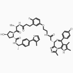 Cc1ccsc1-c1ccc([C@H](C)NC(=O)[C@@H]2C[C@@H](O)CN2C(=O)[C@@H](NC(=O)CCc2cc(OCCNC(=O)C[C@@H]3N=C(c4ccc(Cl)cc4)c4c([nH]c(C)c4C)-n4c(C)nnc43)ccc2F)C(C)(C)C)cc1